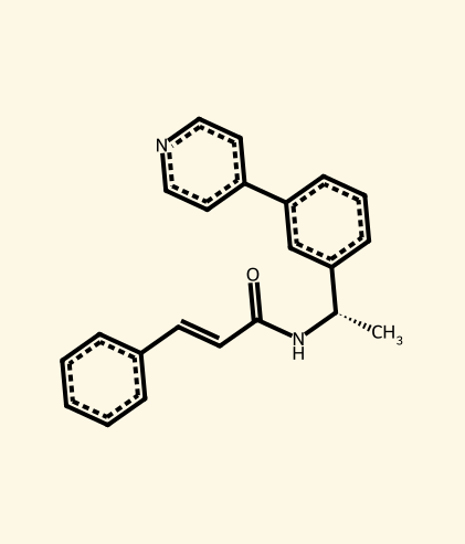 C[C@H](NC(=O)/C=C/c1ccccc1)c1cccc(-c2ccncc2)c1